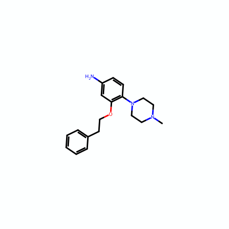 CN1CCN(c2ccc(N)cc2OCCc2ccccc2)CC1